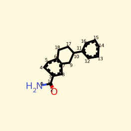 NC(=O)c1ccc2c(c1)CC(c1ccccc1)CC2